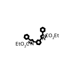 CCOC(=O)n1nc(-c2cccc(-c3cc(-c4ccccc4)n(C(=O)OCC)n3)c2)cc1-c1ccccc1